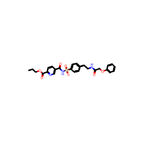 CCCOC(=O)c1ccc(C(=O)NS(=O)(=O)c2ccc(CCNC(=O)COc3ccccc3)cc2)cn1